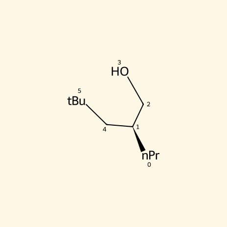 CCC[C@H](CO)CC(C)(C)C